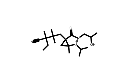 CCC(C)(C#N)C(C)(C)CC1(C(=O)NCC(C)O)CC1(C)BC(C)C